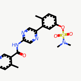 Cc1ccncc1C(=O)Nc1cnc(-c2cc(OS(=O)(=O)N(C)C)ccc2C)cn1